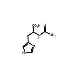 NC(=O)N[C@@H](Cc1c[nH]cn1)C(=O)O